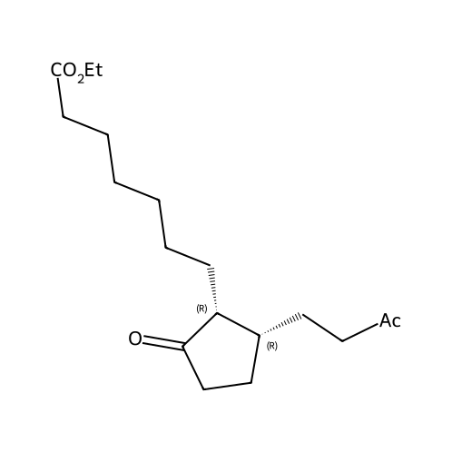 CCOC(=O)CCCCCC[C@H]1C(=O)CC[C@H]1CCC(C)=O